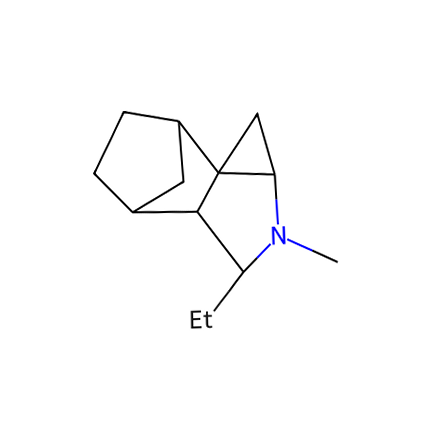 CCC1C2C3CCC(C3)C23CC3N1C